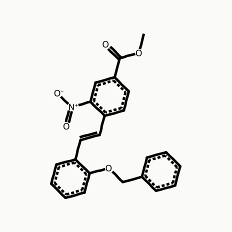 COC(=O)c1ccc(/C=C/c2ccccc2OCc2ccccc2)c([N+](=O)[O-])c1